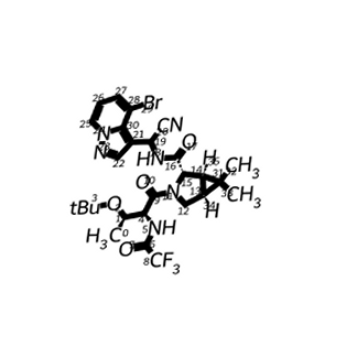 C[C@@H](OC(C)(C)C)[C@H](NC(=O)C(F)(F)F)C(=O)N1C[C@H]2[C@@H]([C@H]1C(=O)NC(C#N)c1cnn3cccc(Br)c13)C2(C)C